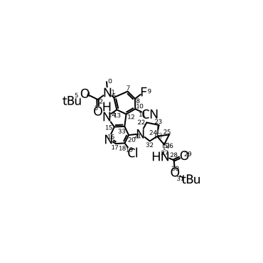 CN(C(=O)OC(C)(C)C)c1cc(F)c(C#N)c2c1[nH]c1ncc(Cl)c(N3CC[C@]4(C[C@@H]4NC(=O)OC(C)(C)C)C3)c12